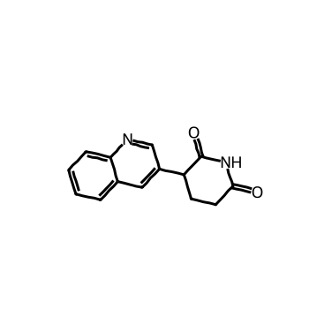 O=C1CCC(c2cnc3ccccc3c2)C(=O)N1